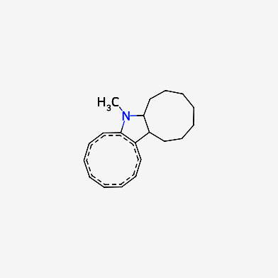 CN1c2ccccccccc2C2CCCCCCCC21